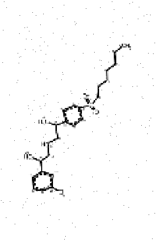 CCCCCCCS(=O)(=O)c1ccc(C(C)CNCC(O)c2cccc(Cl)c2)cc1